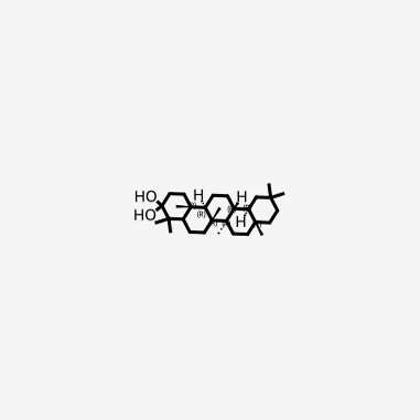 CC1(C)CC[C@]2(C)CC[C@]3(C)[C@H](CC[C@@H]4[C@@]5(C)CCC(O)(O)C(C)(C)C5CC[C@]43C)[C@H]2C1